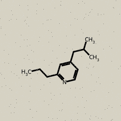 CCCc1cc(CC(C)C)ccn1